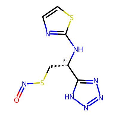 O=NSC[C@H](Nc1nccs1)c1nnn[nH]1